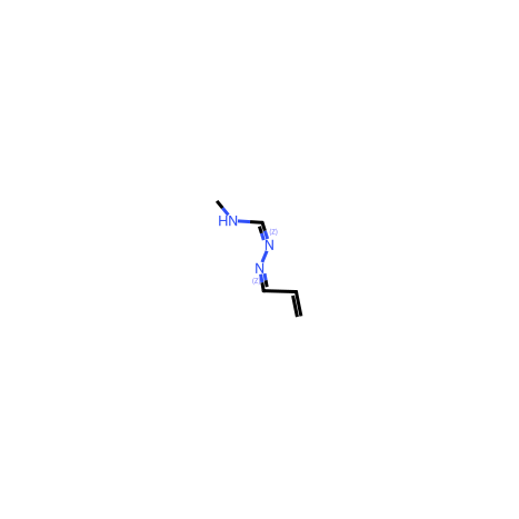 C=C/C=N\N=C/NC